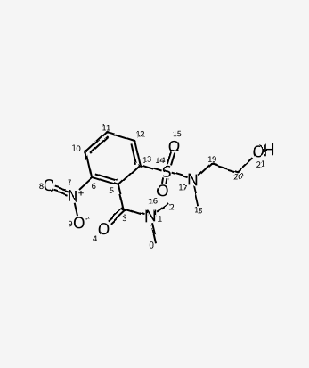 CN(C)C(=O)c1c([N+](=O)[O-])cccc1S(=O)(=O)N(C)CCO